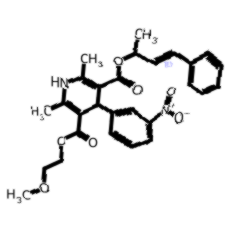 COCCOC(=O)C1=C(C)NC(C)=C(C(=O)OC(C)/C=C/c2ccccc2)C1c1cccc([N+](=O)[O-])c1